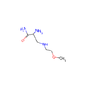 COCCNCC(N)C(N)=O